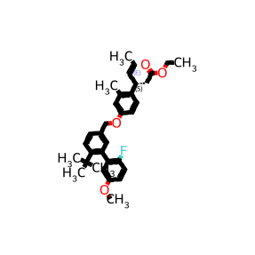 C/C=C/[C@H](CC(=O)OCC)c1ccc(OCc2ccc(C(C)(C)C)c(-c3cc(OC)ccc3F)c2)cc1C